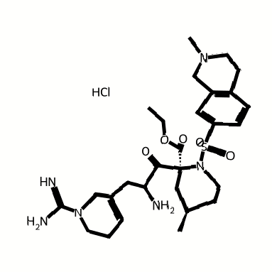 CCOC(=O)[C@@]1(C(=O)C(N)CC2=CCCN(C(=N)N)C2)C[C@H](C)CCN1S(=O)(=O)c1ccc2c(c1)CN(C)CC2.Cl